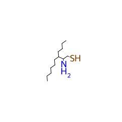 CCCCCCC(CCCC)C(N)CS